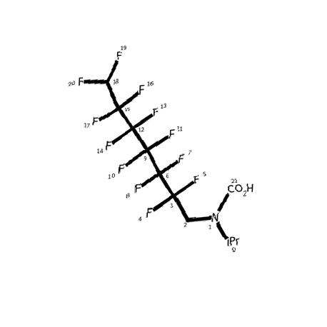 CC(C)N(CC(F)(F)C(F)(F)C(F)(F)C(F)(F)C(F)(F)C(F)F)C(=O)O